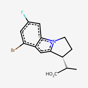 CC(C(=O)O)[C@H]1CCn2c1cc1c(Br)cc(F)cc12